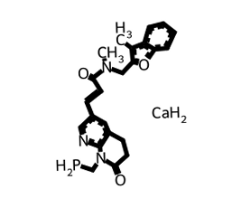 Cc1c(CN(C)C(=O)C=Cc2cnc3c(c2)CCC(=O)N3CP)oc2ccccc12.[CaH2]